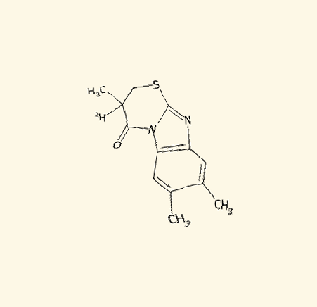 [2H]C1(C)CSc2nc3cc(C)c(C)cc3n2C1=O